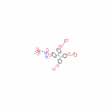 CCO[Si](CCCNC(=O)Oc1ccc(C(c2ccc(OCC3CO3)cc2)C(c2ccc(OCC3CO3)cc2)c2ccc(OCC3CO3)cc2)cc1)(OCC)OCC